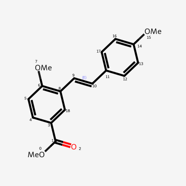 COC(=O)c1ccc(OC)c(/C=C/c2ccc(OC)cc2)c1